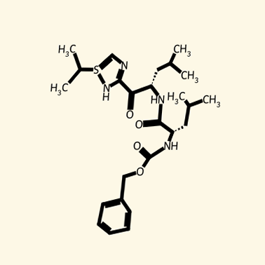 CC(C)C[C@H](NC(=O)OCc1ccccc1)C(=O)N[C@@H](CC(C)C)C(=O)C1=NC=S(C(C)C)N1